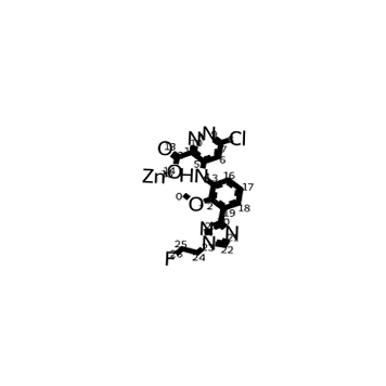 COc1c(Nc2cc(Cl)nnc2C(=O)[O][Zn])cccc1-c1ncn(CCF)n1